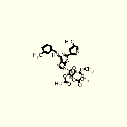 COC(=O)[C@H]1O[C@@H](n2cnc3c(NCc4cccc(C)c4)nc(-c4cncc(C)c4)nc32)[C@H](OC(C)=O)[C@@H]1OC(C)=O